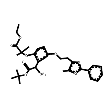 CCOC(=O)C(C)(C)Oc1ccc(OCCc2nc(-c3ccccc3)oc2C)cc1C(N)C(=O)OC(C)(C)C